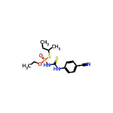 CCOP(=O)(NC(=S)Nc1ccc(C#N)cc1)SC(C)CC